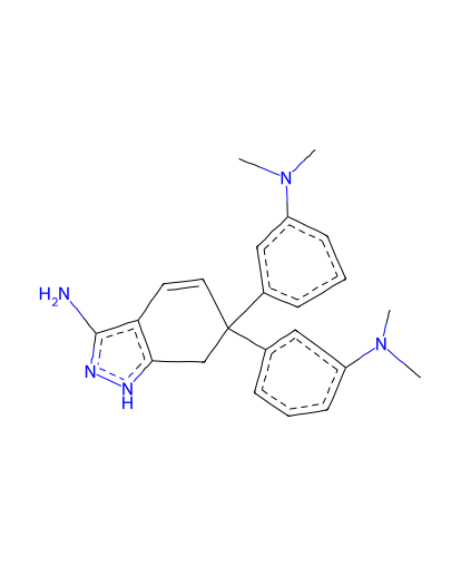 CN(C)c1cccc(C2(c3cccc(N(C)C)c3)C=Cc3c(N)n[nH]c3C2)c1